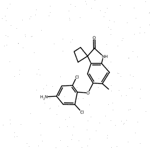 Cc1cc2c(cc1Oc1c(Cl)cc(N)cc1Cl)C1(CCC1)C(=O)N2